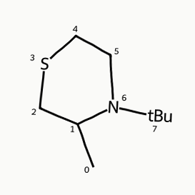 CC1CSCCN1C(C)(C)C